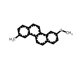 CSc1ccc2ccc3c4cc(C)ccc4ccc3c2c1